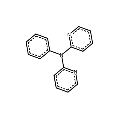 c1ccc(N(c2ccccn2)c2ccccn2)cc1